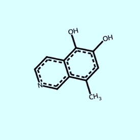 Cc1cc(O)c(O)c2ccncc12